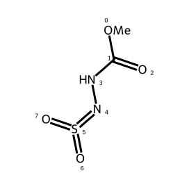 COC(=O)NN=S(=O)=O